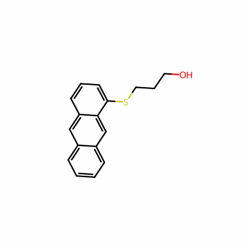 OCCCSc1cccc2cc3ccccc3cc12